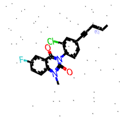 C/C=C/C#Cc1ccc(-n2c(=O)c3cc(F)ccc3n(C)c2=O)c(Cl)c1